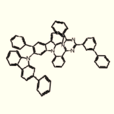 c1ccc(-c2cccc(-c3nc(-c4ccccc4)nc(-c4ccccc4-n4c5ccccc5c5cc(-c6ccccc6)c(-n6c7ccccc7c7ccc(-c8ccccc8)cc76)cc54)n3)c2)cc1